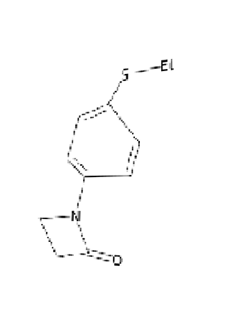 CCSc1ccc(N2CCC2=O)cc1